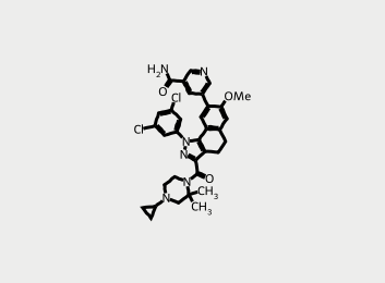 COc1cc2c(cc1-c1cncc(C(N)=O)c1)-c1c(c(C(=O)N3CCN(C4CC4)CC3(C)C)nn1-c1cc(Cl)cc(Cl)c1)CC2